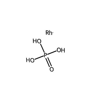 O=P(O)(O)O.[Rh]